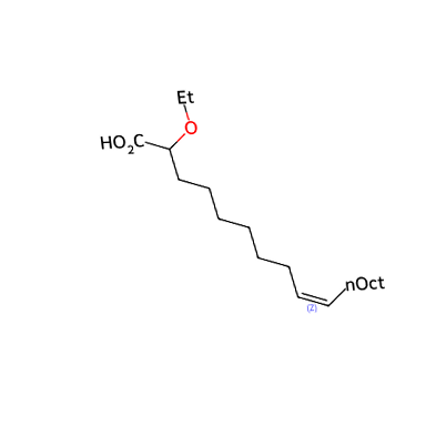 CCCCCCCC/C=C\CCCCCCC(OCC)C(=O)O